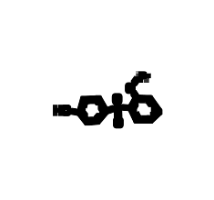 CC(C)Oc1ccccc1S(=O)(=O)c1ccc(O)cc1